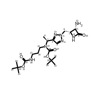 C[C@@H](c1cnn(C[C@H]2NC(=O)[C@H]2N)n1)N(CCCNC(=O)OC(C)(C)C)C(=O)OC(C)(C)C